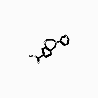 COC(=O)c1ccc2c(c1)OCCN(c1cccnc1)C2